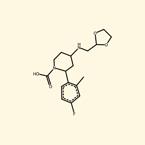 Cc1cc(F)ccc1C1CC(NCC2OCCO2)CCN1C(=O)O